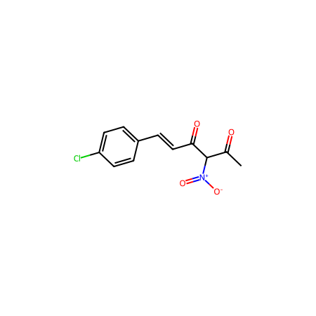 CC(=O)C(C(=O)C=Cc1ccc(Cl)cc1)[N+](=O)[O-]